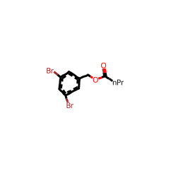 CCCC(=O)OCc1cc(Br)cc(Br)c1